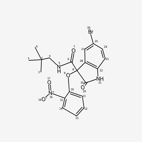 CC(C)(C)CNC(=O)C1(Oc2ccccc2[N+](=O)[O-])C(=O)Nc2ccc(Br)cc21